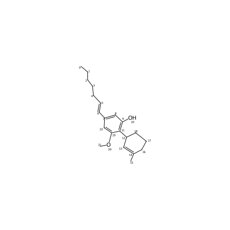 CCCCCC=Cc1cc(O)c(C2C=C(C)CCC2)c(OC)c1